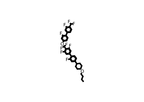 CCCCOC1CCC(c2ccc(-c3cc(F)c(C(F)(F)Oc4ccc(-c5ccc(C(F)F)c(F)c5)c(F)c4)c(F)c3)c(F)c2)CC1